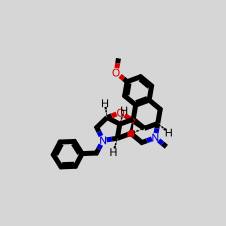 COc1ccc2c(c1)[C@]13CCN(C)[C@H](C2)[C@]12CC[C@@H]1[C@H]3[C@@H](CN1Cc1ccccc1)O2